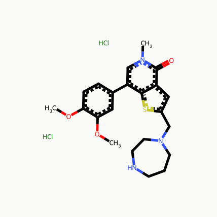 COc1ccc(-c2cn(C)c(=O)c3cc(CN4CCCNCC4)sc23)cc1OC.Cl.Cl